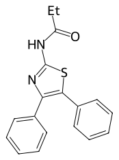 CCC(=O)Nc1nc(-c2ccccc2)c(-c2ccccc2)s1